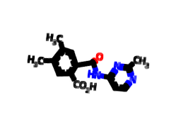 Cc1nccc(NC(=O)c2cc(C)c(C)cc2C(=O)O)n1